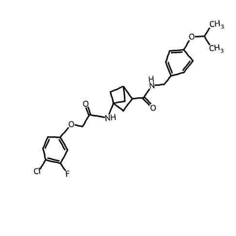 CC(C)Oc1ccc(CNC(=O)C2CC3(NC(=O)COc4ccc(Cl)c(F)c4)CC2C3)cc1